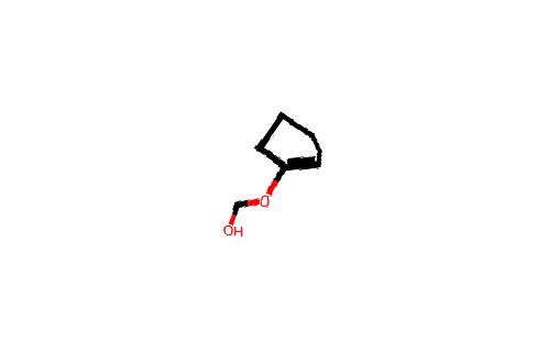 OCOC1=CCCC1